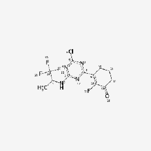 CC(Nc1nc(Cl)nc(C2=C(F)C(=O)CCC2)n1)C(F)(F)F